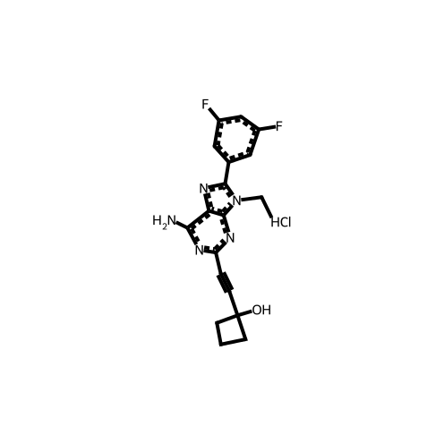 CCn1c(-c2cc(F)cc(F)c2)nc2c(N)nc(C#CC3(O)CCC3)nc21.Cl